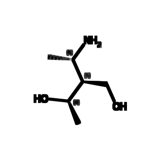 C[C@H](N)[C@@H](CO)[C@@H](C)O